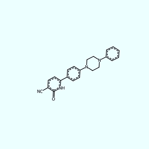 N#Cc1ccc(-c2ccc(N3CCN(c4ccccc4)CC3)cc2)[nH]c1=O